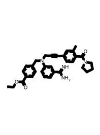 CCOC(=O)c1ccc(CN(CC#Cc2ccc(C(=O)N3CCCC3)c(C)c2)c2cccc(C(=N)N)c2)cc1